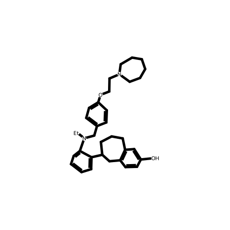 CCN(Cc1ccc(OCCN2CCCCCC2)cc1)c1ccccc1C1CCCc2cc(O)ccc2C1